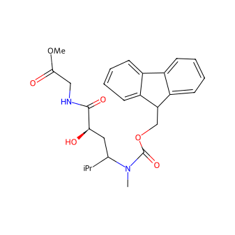 COC(=O)CNC(=O)[C@H](O)CC(C(C)C)N(C)C(=O)OCC1c2ccccc2-c2ccccc21